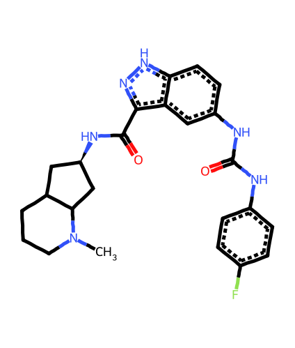 CN1CCCC2C[C@@H](NC(=O)c3n[nH]c4ccc(NC(=O)Nc5ccc(F)cc5)cc34)CC21